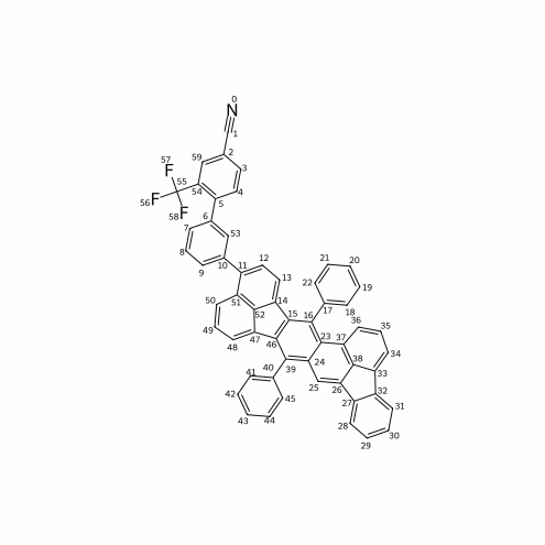 N#Cc1ccc(-c2cccc(-c3ccc4c5c(-c6ccccc6)c6c(cc7c8ccccc8c8cccc6c87)c(-c6ccccc6)c5c5cccc3c54)c2)c(C(F)(F)F)c1